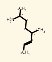 C/C=C/C(C)CCC(C)N